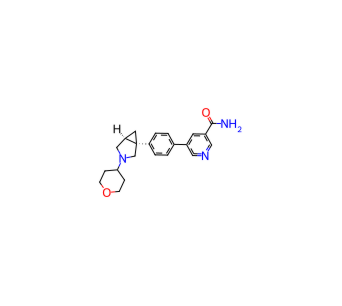 NC(=O)c1cncc(-c2ccc([C@@]34C[C@@H]3CN(C3CCOCC3)C4)cc2)c1